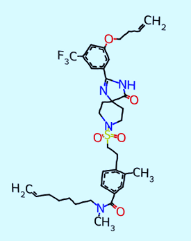 C=CCCCCCN(C)C(=O)c1ccc(CCS(=O)(=O)N2CCC3(CC2)N=C(c2cc(OCCC=C)cc(C(F)(F)F)c2)NC3=O)c(C)c1